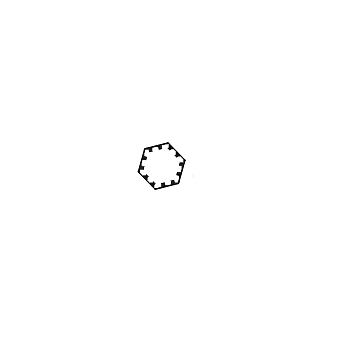 C.C.c1ccccc1